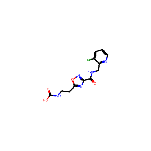 O=C(O)NCCc1nc(C(=O)NCc2ncccc2F)no1